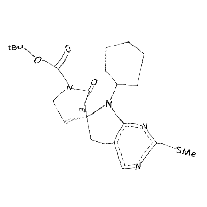 CSc1ncc2c(n1)N(C1CCCCC1)[C@@]1(CCN(C(=O)OC(C)(C)C)C1=O)C2